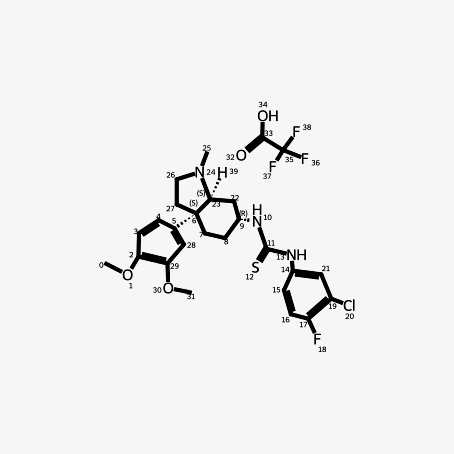 COc1ccc([C@@]23CC[C@@H](NC(=S)Nc4ccc(F)c(Cl)c4)C[C@@H]2N(C)CC3)cc1OC.O=C(O)C(F)(F)F